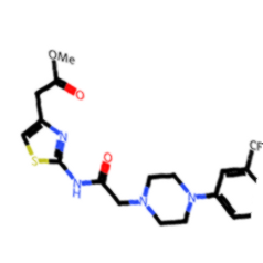 COC(=O)Cc1csc(NC(=O)CN2CCN(c3cccc(C(F)(F)F)c3)CC2)n1